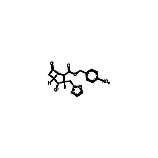 C[C@]1(Cn2nccn2)[C@H](C(=O)OCc2ccc([N+](=O)[O-])cc2)N2C(=O)C[C@H]2[S+]1[O-]